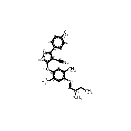 CCN(C)C=Nc1cc(C)c(Oc2snc(-c3ccc(C)cc3)c2C#N)cc1C